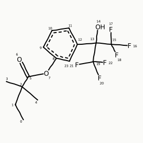 CCC(C)(C)C(=O)Oc1cccc(C(O)(C(F)(F)F)C(F)(F)F)c1